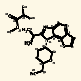 CC(N)c1nc2cnc3ccsc3c2n1[C@H]1CC[C@H](CC#N)OC1.O=C(OF)C(F)F